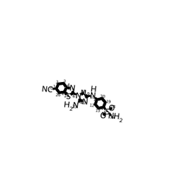 N#Cc1ccc2nc(-n3nc(Nc4ccc(S(N)(=O)=O)cc4)nc3N)sc2c1